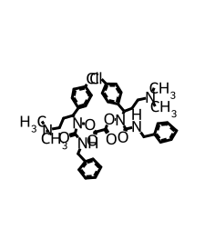 CN(C)CCC(c1ccc(Cl)cc1)N(OC(=O)C(=O)ON(C(=O)NCc1ccccc1)C(CCN(C)C)c1ccc(Cl)cc1)C(=O)NCc1ccccc1